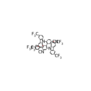 N#Cc1ccc(-n2c3ccc(C(F)(F)F)cc3c3cc(C(F)(F)F)ccc32)c(-c2cc(-c3ccc(C(F)(F)F)cc3C#N)ccc2-n2c3ccc(C(F)(F)F)cc3c3cc(C(F)(F)F)ccc32)c1